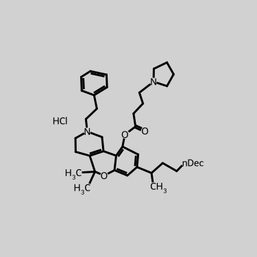 CCCCCCCCCCCCC(C)c1cc(OC(=O)CCCN2CCCC2)c2c(c1)OC(C)(C)C1=C2CN(CCc2ccccc2)CC1.Cl